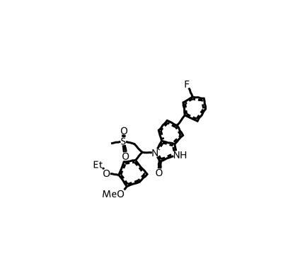 CCOc1cc(C(CS(C)(=O)=O)n2c(=O)[nH]c3cc(-c4cccc(F)c4)ccc32)ccc1OC